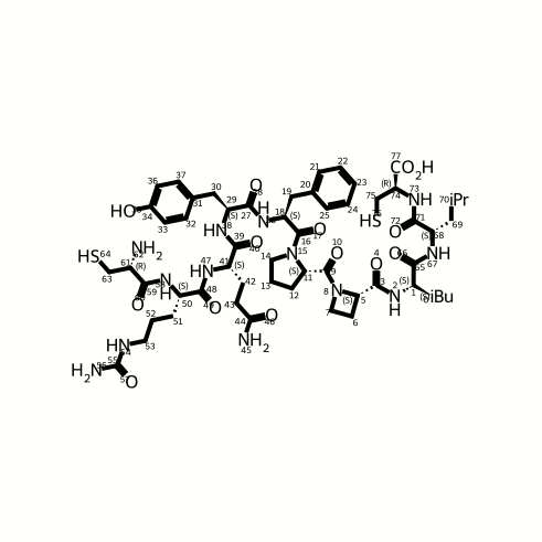 CC[C@H](C)[C@H](NC(=O)[C@@H]1CCN1C(=O)[C@@H]1CCCN1C(=O)[C@H](Cc1ccccc1)NC(=O)[C@H](Cc1ccc(O)cc1)NC(=O)[C@H](CCC(N)=O)NC(=O)[C@H](CCCNC(N)=O)NC(=O)[C@@H](N)CS)C(=O)N[C@@H](CC(C)C)C(=O)N[C@@H](CS)C(=O)O